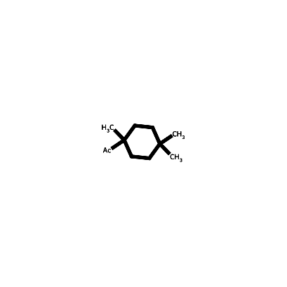 CC(=O)C1(C)CCC(C)(C)CC1